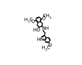 COc1ccc2c(CCN[C@H]3Cc4c(OC)ccc(OC)c4C[C@@H]3O)c[nH]c2c1